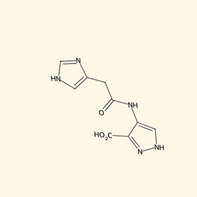 O=C(Cc1c[nH]cn1)Nc1c[nH]nc1C(=O)O